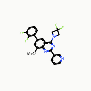 COc1cc(-c2cccc(F)c2F)cc2c(N3CC(F)(F)C3)nc(-c3cccnc3)nc12